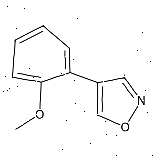 COc1ccccc1-c1[c]noc1